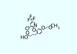 COCCOc1ccc(CCCC(=O)O)c(Oc2ncc(C(F)(F)F)cc2Cl)c1